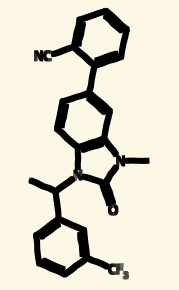 CC(c1cccc(C(F)(F)F)c1)n1c(=O)n(C)c2cc(-c3ccccc3C#N)ccc21